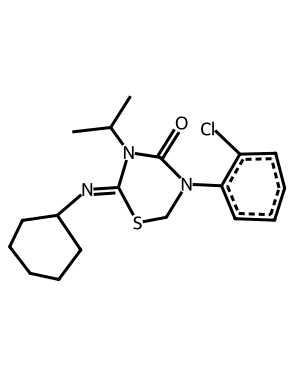 CC(C)N1C(=O)N(c2ccccc2Cl)CS/C1=N\C1CCCCC1